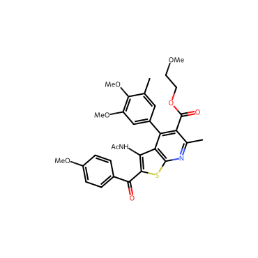 COCCOC(=O)c1c(C)nc2sc(C(=O)c3ccc(OC)cc3)c(NC(C)=O)c2c1-c1cc(C)c(OC)c(OC)c1